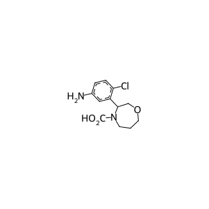 Nc1ccc(Cl)c(C2COCCCN2C(=O)O)c1